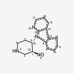 O=N[C@H]1CNCC[C@@H]1n1c2ccccc2c2cccnc21